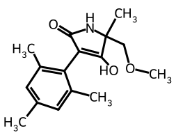 COCC1(C)NC(=O)C(c2c(C)cc(C)cc2C)=C1O